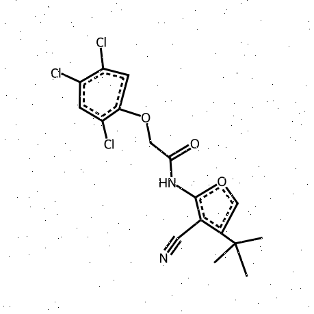 CC(C)(C)c1coc(NC(=O)COc2cc(Cl)c(Cl)cc2Cl)c1C#N